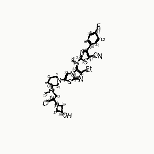 CCc1nc2sc(N3CCCC(N(C)CC(=O)N4CC(O)C4)C3)cn2c1N(C)c1nc(-c2ccc(F)cc2)c(C#N)s1